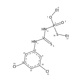 CCOP(=O)(NC(=S)Nc1cc(Cl)cc(Cl)c1)SCC